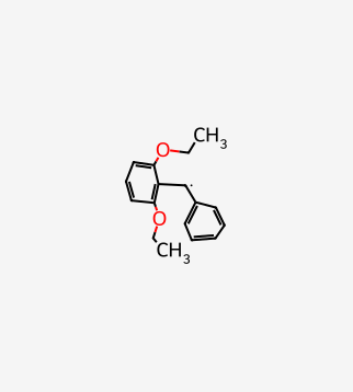 CCOc1cccc(OCC)c1[CH]c1ccccc1